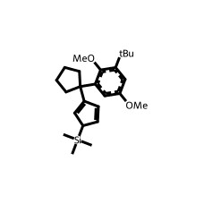 COc1cc(C(C)(C)C)c(OC)c(C2(C3=CC([Si](C)(C)C)C=C3)CCCC2)c1